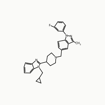 Cc1nn(-c2cccc(F)c2)c2ccc(CN3CCC(c4nc5ccccc5n4CC4CC4)CC3)cc12